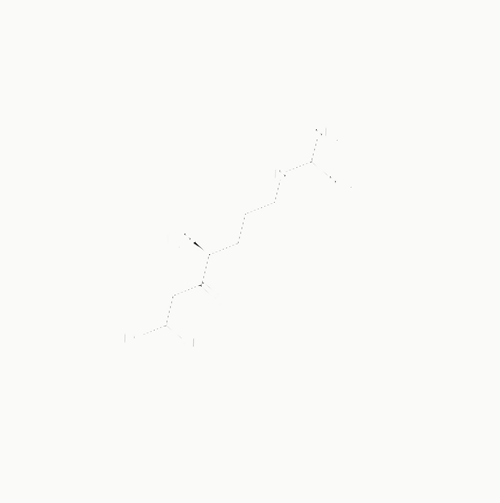 CC(C)CC(=O)[C@@H](N)CCCNC(N)N